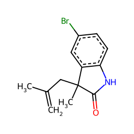 C=C(C)CC1(C)C(=O)Nc2ccc(Br)cc21